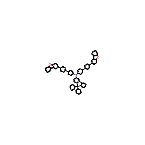 c1ccc(C2(c3ccccc3)c3ccccc3-c3cc(N(c4ccc(-c5ccc(-c6ccc7oc8ccccc8c7c6)cc5)cc4)c4ccc(-c5ccc(-c6ccc7oc8ccccc8c7c6)cc5)cc4)ccc32)cc1